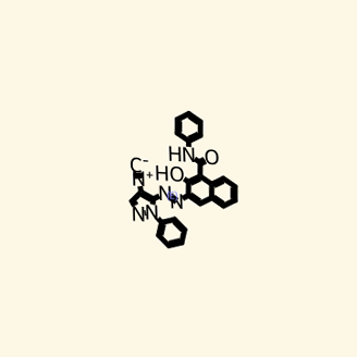 [C-]#[N+]c1cnn(-c2ccccc2)c1/N=N/c1cc2ccccc2c(C(=O)Nc2ccccc2)c1O